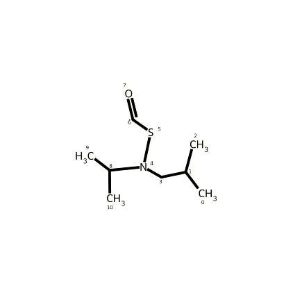 CC(C)CN(S[C]=O)C(C)C